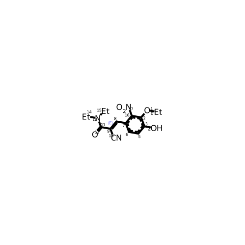 CCOc1c(O)ccc(/C=C(\C#N)C(=O)N(CC)CC)c1[N+](=O)[O-]